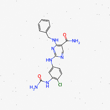 NC(=O)Nc1cc(Nc2ncc(C(N)=O)c(NCc3ccccc3)n2)ccc1Cl